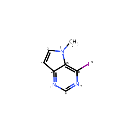 Cn1ccc2ncnc(I)c21